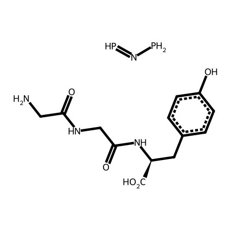 NCC(=O)NCC(=O)N[C@@H](Cc1ccc(O)cc1)C(=O)O.P=NP